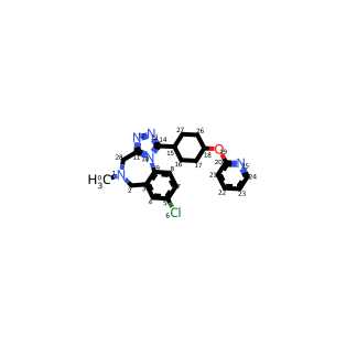 CN1Cc2cc(Cl)ccc2-n2c(nnc2C2CCC(Oc3ccccn3)CC2)C1